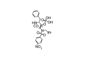 CC(C)CN(C[C@H](OP(=O)(O)O)[C@H](Cc1ccccc1)NC(=O)O)S(=O)(=O)c1ccc([N+](=O)[O-])cc1